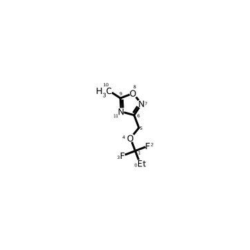 CCC(F)(F)OCc1noc(C)n1